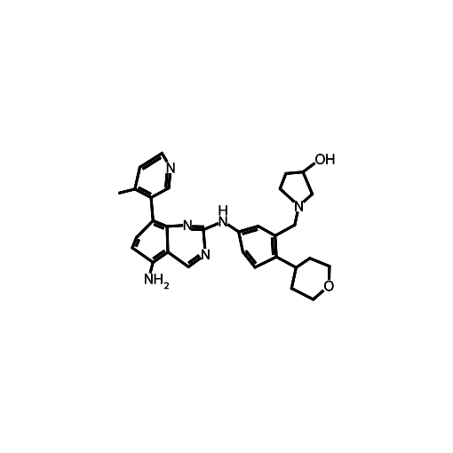 Cc1ccncc1-c1ccc(N)c2cnc(Nc3ccc(C4CCOCC4)c(CN4CCC(O)C4)c3)nc12